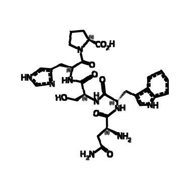 NC(=O)C[C@H](N)C(=O)N[C@@H](Cc1c[nH]c2ccccc12)C(=O)N[C@@H](CO)C(=O)N[C@@H](Cc1c[nH]cn1)C(=O)N1CCC[C@H]1C(=O)O